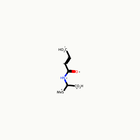 CSC(NC(=O)C=CC(=O)O)C(=O)O